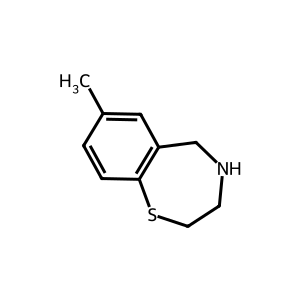 Cc1ccc2c(c1)CNCCS2